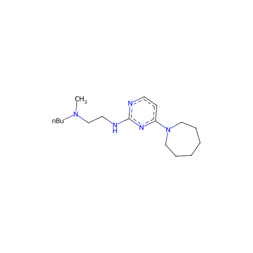 CCCCN(C)CCNc1nccc(N2CCCCCC2)n1